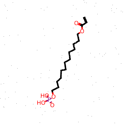 C=CC(=O)OCCCCCCCCCCCCCOP(=O)(O)O